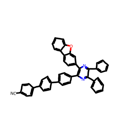 N#Cc1ccc(-c2ccc(-c3ccc(-c4nc(-c5ccccc5)c(-c5ccccc5)nc4-c4ccc5c(c4)oc4ccccc45)cc3)cc2)cc1